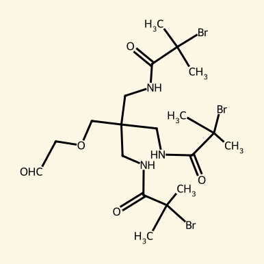 CC(C)(Br)C(=O)NCC(CNC(=O)C(C)(C)Br)(CNC(=O)C(C)(C)Br)COCC=O